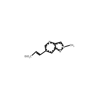 CCOC(=O)/C=C/c1cnc2cn(C)nc2c1